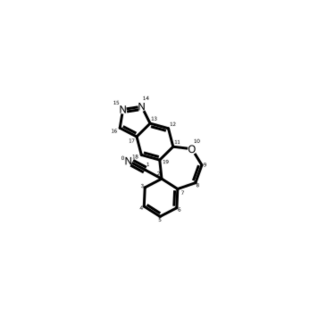 N#CC12CC=CC=C1C=COC1C=C3N=NC=C3C=C12